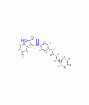 O=C1Nc2ccc(Cl)cc2C1=CNc1ccc(CCCCN2CCCCC2)cc1